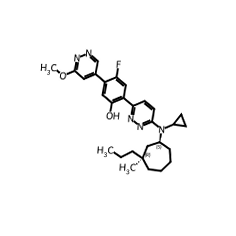 CCC[C@]1(C)CCCC[C@H](N(c2ccc(-c3cc(F)c(-c4cnnc(OC)c4)cc3O)nn2)C2CC2)C1